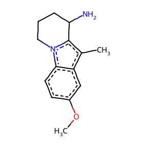 COc1ccc2c(c1)c(C)c1n2CCCC1N